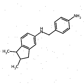 CC1Cc2cc(NCc3ccc(N)cc3)ccc2C1C